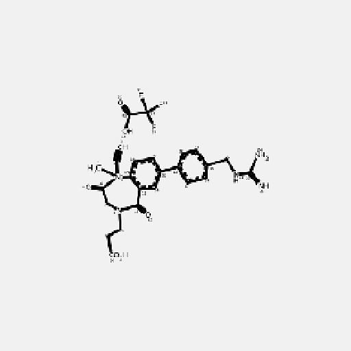 C#C[N+]1(C)C(=O)CN(CCC(=O)O)C(=O)c2cc(-c3ccc(CNC(=N)N)cc3)ccc21.O=C(O)C(F)(F)F